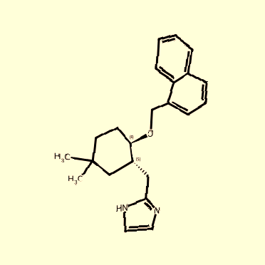 CC1(C)CC[C@@H](OCc2cccc3ccccc23)[C@H](Cc2ncc[nH]2)C1